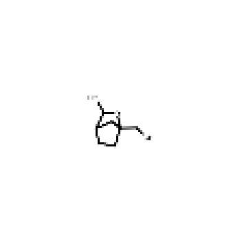 OCC12CCC(C1)C(O)O2